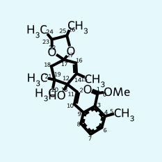 COC(=O)c1c(C)cccc1C=CC1(O)C(C)=CC2(CC1(C)C)OC(C)C(C)O2